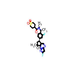 CN(C(=O)C1CCS(=O)(=O)CC1)[C@@H](c1ccc([C@@H]2CC(C)(C)c3c2cnc2cc(F)nn32)cc1F)C(F)(F)F